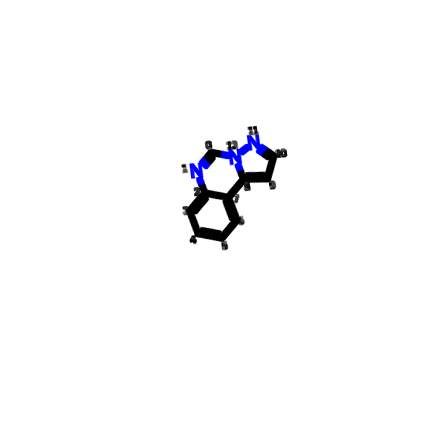 [c]1nc2ccccc2c2ccnn12